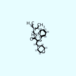 CCN(CC)CNC(=O)C(CN1CCOCC1)Sc1ccccn1